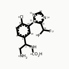 NCC(NC(=O)O)c1ccc(Cl)c(-n2ncnc2C(F)F)c1